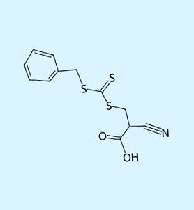 N#CC(CSC(=S)SCc1ccccc1)C(=O)O